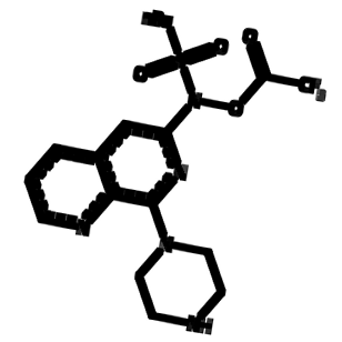 CCCCS(=O)(=O)N(OC(=O)C(F)(F)F)c1cc2cccnc2c(N2CCNCC2)n1